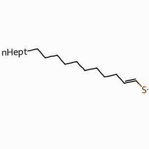 CCCCCCCCCCCCCCCCC=C[S]